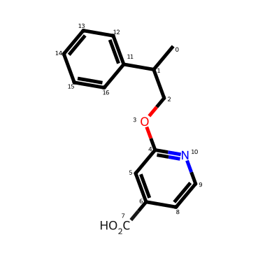 CC(COc1cc(C(=O)O)ccn1)c1ccccc1